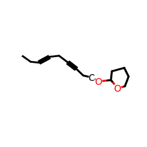 CCC#CCC#CCCOC1CCCCO1